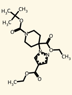 CCOC(=O)c1cnn(C2(C(=O)OCC)CCN(C(=O)OC(C)(C)C)CC2)c1